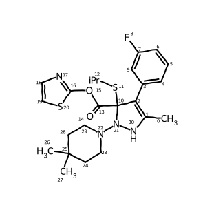 CC1=C(c2cccc(F)c2)C(SC(C)C)(C(=O)Oc2nccs2)N(N2CCC(C)(C)CC2)N1